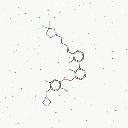 Cc1cc(OCc2cccc(-c3cccc(/C=C/CCN4CCC(F)(F)C4)c3C)c2C)c(Cl)cc1CN1CCC1